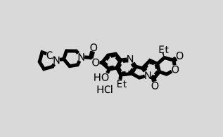 CCc1c2c(nc3ccc(OC(=O)N4CCC(N5CCCCC5)CC4)c(O)c13)-c1cc3c(c(=O)n1C2)COC(=O)[C@H]3CC.Cl